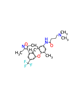 Cc1cc(NC(=O)CCCN(C)C)cc(C)c1Oc1cc(-c2c(C)noc2C)cc(C(F)(F)F)c1